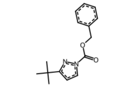 CC(C)(C)c1ccn(C(=O)OCc2ccccc2)n1